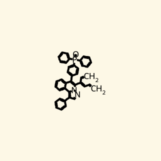 C=C/C=C(\C=C)c1c(-c2ccc(P(=O)(c3ccccc3)c3ccccc3)cc2)c2ccccc2c2c(-c3ccccc3)cnn12